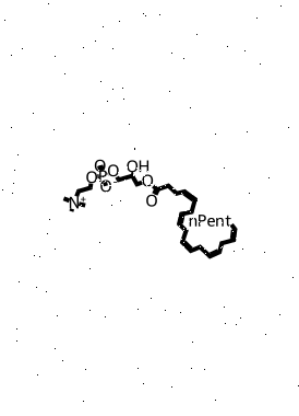 CCCCC/C=C\C/C=C\C/C=C\C/C=C\C/C=C\CCC(=O)OC[C@@H](O)COP(=O)([O-])OCC[N+](C)(C)C